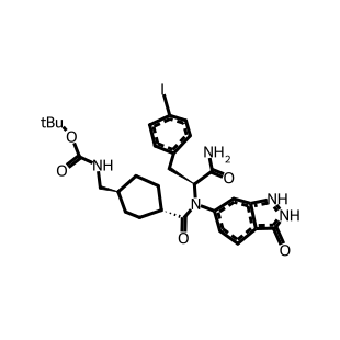 CC(C)(C)OC(=O)NC[C@H]1CC[C@H](C(=O)N(c2ccc3c(=O)[nH][nH]c3c2)[C@@H](Cc2ccc(I)cc2)C(N)=O)CC1